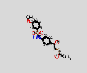 COc1cccc(S(=O)(=O)Nc2ccc(C(=O)CSC(C)=O)cc2)c1